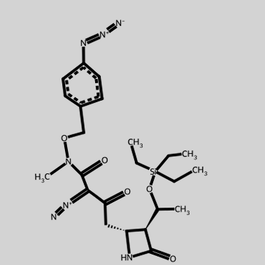 CC[Si](CC)(CC)OC(C)[C@H]1C(=O)N[C@@H]1CC(=O)C(=[N+]=[N-])C(=O)N(C)OCc1ccc(N=[N+]=[N-])cc1